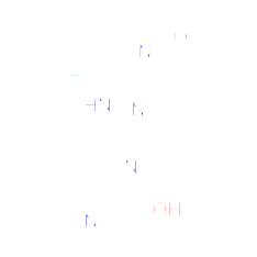 CN1CCC(C(O)c2ccc3cnc(Nc4cc(N5CCOCC5)ccc4F)cc3n2)CC1